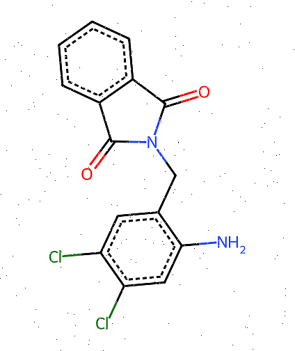 Nc1cc(Cl)c(Cl)cc1CN1C(=O)c2ccccc2C1=O